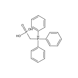 O=P(O)(O)C[PH](c1ccccc1)(c1ccccc1)c1ccccc1